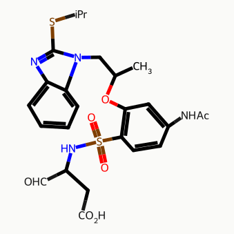 CC(=O)Nc1ccc(S(=O)(=O)NC(C=O)CC(=O)O)c(OC(C)Cn2c(SC(C)C)nc3ccccc32)c1